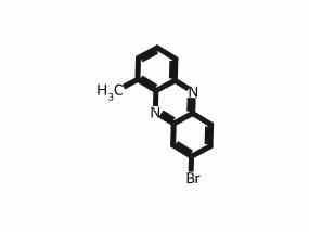 Cc1cccc2nc3ccc(Br)cc3nc12